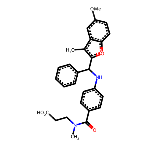 COc1ccc2oc(C(Nc3ccc(C(=O)N(C)CCC(=O)O)cc3)c3ccccc3)c(C)c2c1